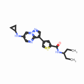 CCC(CC)NC(=O)c1cc(-c2cnn3cc(NC4CC4)cnc23)cs1